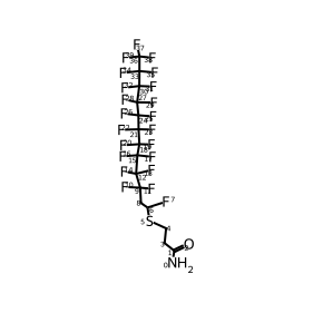 NC(=O)CCSC(F)CC(F)(F)C(F)(F)C(F)(F)C(F)(F)C(F)(F)C(F)(F)C(F)(F)C(F)(F)C(F)(F)C(F)(F)F